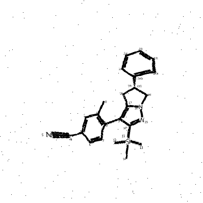 Cc1cc(C#N)ccc1-c1c([Si](C)(C)C)nn2c1C[C@@H](c1ccccc1)C2